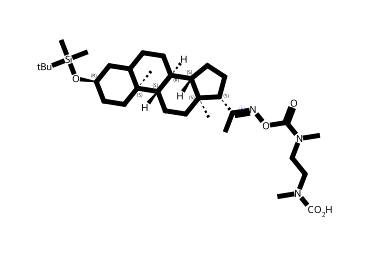 C/C(=N\OC(=O)N(C)CCN(C)C(=O)O)[C@H]1CC[C@H]2[C@@H]3CCC4C[C@H](O[Si](C)(C)C(C)(C)C)CC[C@]4(C)[C@H]3CC[C@]12C